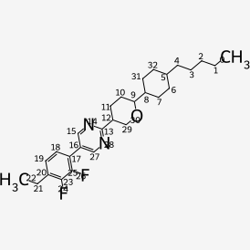 CCCCCC1CCC(C2CCC(c3ncc(-c4ccc(CC)c(F)c4F)cn3)CO2)CC1